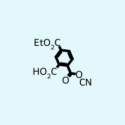 CCOC(=O)c1ccc(C(=O)OC#N)c(C(=O)O)c1